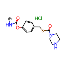 CC(C)NC(=O)Oc1ccc(CSC(=O)N2CCNCC2)cc1.Cl